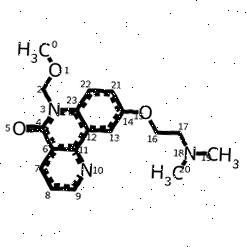 COCn1c(=O)c2cccnc2c2cc(OCCN(C)C)ccc21